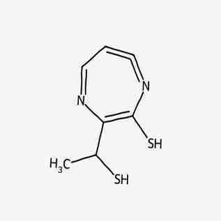 CC(S)C1=C(S)N=C=CC=N1